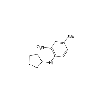 CC(C)(C)c1ccc(NC2CCCC2)c([N+](=O)[O-])c1